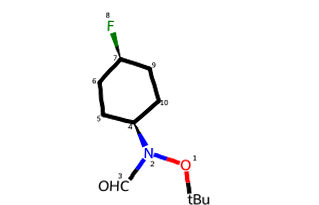 CC(C)(C)ON(C=O)[C@H]1CC[C@@H](F)CC1